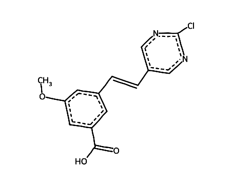 COc1cc(C=Cc2cnc(Cl)nc2)cc(C(=O)O)c1